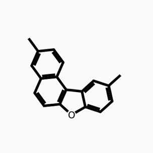 Cc1ccc2c(ccc3oc4ccc(C)cc4c32)c1